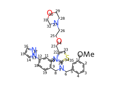 COc1cccc(CN(Cc2ccc(-n3cccn3)cc2)c2nc(COCCN3CCOCC3)cs2)c1